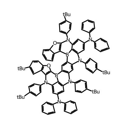 CC(C)(C)c1ccc(N2c3cc4c(cc3B3c5c2cc(N(c2ccccc2)c2ccccc2)cc5N(c2ccc(C(C)(C)C)cc2)c2oc5ccccc5c23)B2c3oc5ccc(C(C)(C)C)cc5c3N(c3ccc(C(C)(C)C)cc3)c3cc(N(c5ccccc5)c5ccccc5)cc(c32)N4c2ccc(C(C)(C)C)cc2)cc1